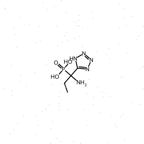 CCC(N)(c1nnn[nH]1)P(=O)(O)O